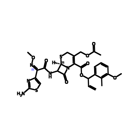 C=CC(OC(=O)C1=C(COC(C)=O)CS[C@@H]2C(NC(=O)/C(=N\OC)c3csc(N)n3)C(=O)N12)c1cccc(OC)c1C